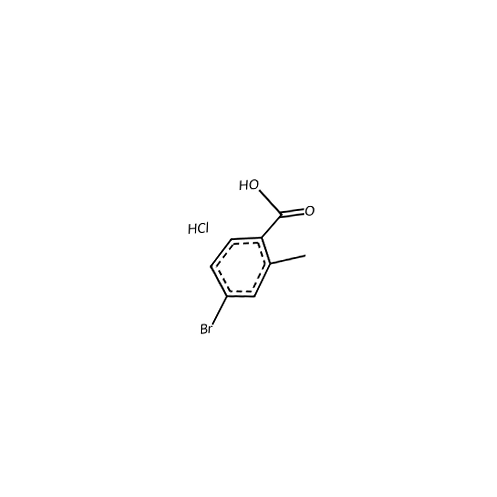 Cc1cc(Br)ccc1C(=O)O.Cl